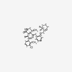 Cc1c(Cl)cccc1NC(=S)C1=C(NCc2ccncc2OCC2OCCCC2(F)F)C(C)CNC1=O